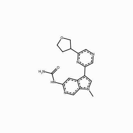 Cn1cc(-c2cncc(C3CCOC3)n2)c2cc(NC(N)=O)ncc21